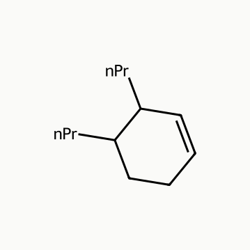 CCCC1C=CCCC1CCC